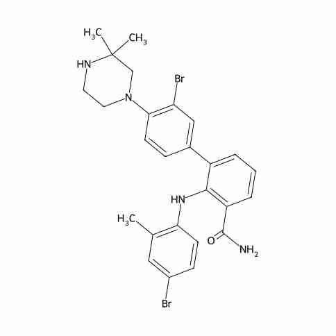 Cc1cc(Br)ccc1Nc1c(C(N)=O)cccc1-c1ccc(N2CCNC(C)(C)C2)c(Br)c1